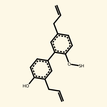 C=CCc1ccc(OS)c(-c2ccc(O)c(CC=C)c2)c1